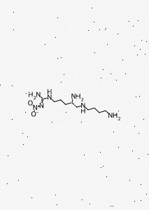 NCCCCNCC(N)CCCNC(N)=N[N+](=O)[O-]